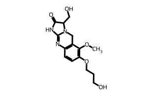 COc1c(OCCCO)ccc2c1CN1C(=N2)NC(=O)C1CO